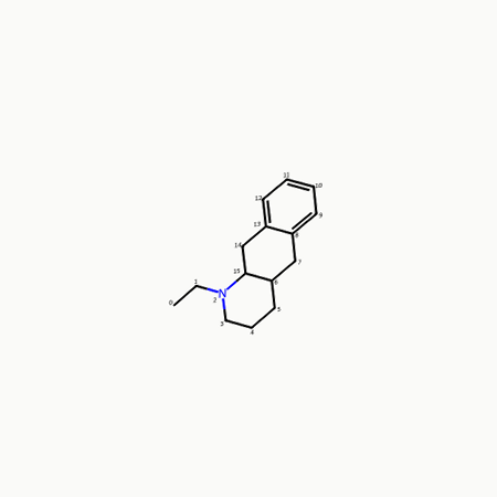 CCN1CCCC2Cc3ccccc3CC21